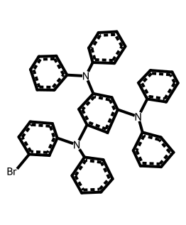 Brc1cccc(N(c2ccccc2)c2cc(N(c3ccccc3)c3ccccc3)cc(N(c3ccccc3)c3ccccc3)c2)c1